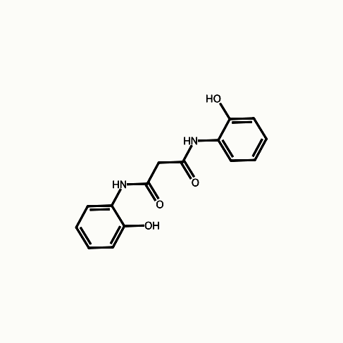 O=C(CC(=O)Nc1ccccc1O)Nc1ccccc1O